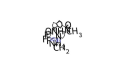 C=C/C=C(\C=C/N)N1CCC(N(C)C(=O)c2ccc3c(c2)[C@H](NC(=O)CC(F)(F)F)CC3)CC1